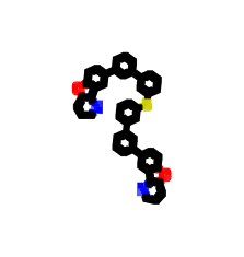 c1cc(Sc2cccc(-c3cccc(-c4ccc5oc6cccnc6c5c4)c3)c2)cc(-c2cccc(-c3ccc4oc5cccnc5c4c3)c2)c1